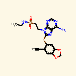 C#Cc1cc2c(cc1Sc1nc3c(N)ncnc3n1CCS(=O)(=O)NCC)OCO2